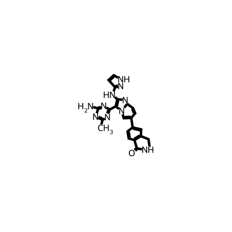 Cc1nc(N)nc(-c2c(Nc3cc[nH]n3)nc3ccc(-c4ccc5c(c4)CCNC5=O)cn23)n1